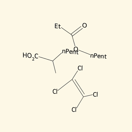 CCCCCC(C)C(=O)O.CCCCCOC(=O)CC.ClC(Cl)=C(Cl)Cl